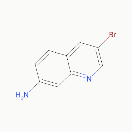 Nc1ccc2cc(Br)cnc2c1